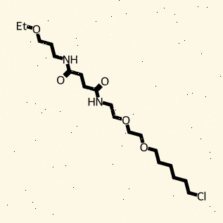 CCOCCCNC(=O)CCC(=O)NCCOCCOCCCCCCCl